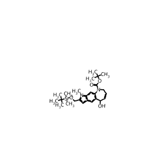 Cn1c(CO[Si](C)(C)C(C)(C)C)cc2cc3c(cc21)N(C(=O)OC(C)(C)C)CC=CC3O